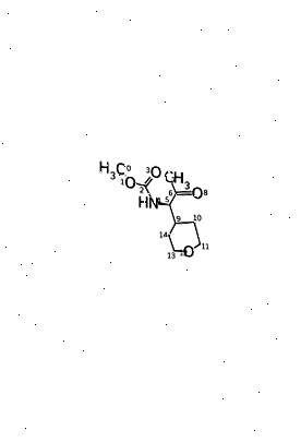 COC(=O)N[C@@H](C(C)=O)C1CCOCC1